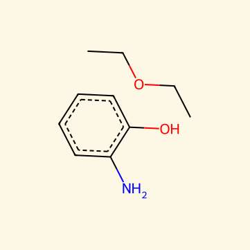 CCOCC.Nc1ccccc1O